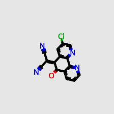 N#CC(C#N)=C1C(=O)c2cccnc2-c2ncc(Cl)cc21